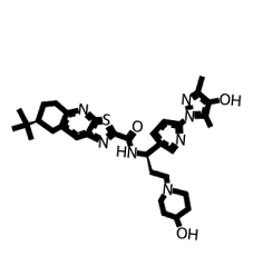 Cc1nn(-c2ccc([C@@H](CCN3CCC(O)CC3)NC(=O)c3nc4cc5c(nc4s3)CC[C@H](C(C)(C)C)C5)cn2)c(C)c1O